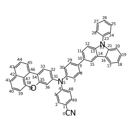 N#Cc1ccc(N(c2ccc(-c3ccc4c(c3)c3ccccc3n4-c3ccccc3)cc2)c2ccc3c(c2)Oc2cccc4cccc-3c24)cc1